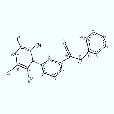 CC1=C(C#N)C(c2cccc(C(=O)Nc3ccccn3)n2)C(C#N)=C(C)N1